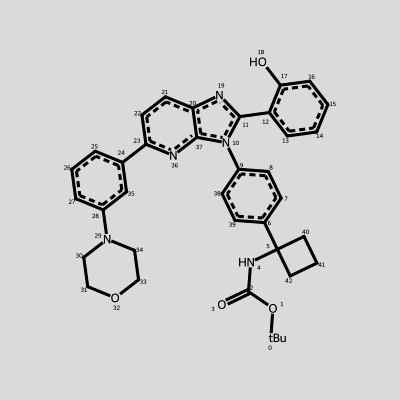 CC(C)(C)OC(=O)NC1(c2ccc(-n3c(-c4ccccc4O)nc4ccc(-c5cccc(N6CCOCC6)c5)nc43)cc2)CCC1